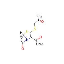 COC(=O)C1=C(SCC(=O)C(F)(F)F)S[C@H]2CC(=O)N12